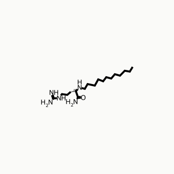 CCCCCCCCCCCCN[C@@H](CCCNC(=N)N)C(N)=O